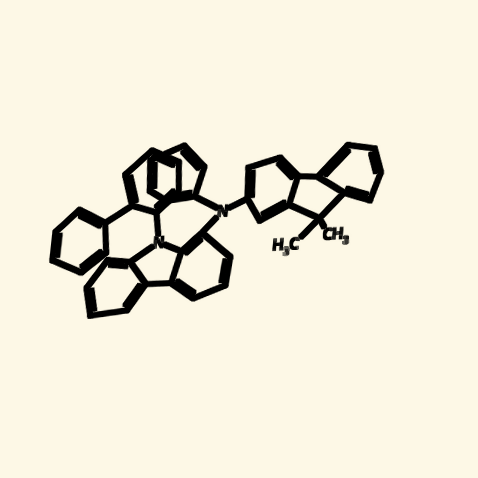 CC1(C)c2ccccc2-c2ccc(N(c3ccccc3)c3cccc4c5ccccc5n(-c5ccccc5-c5ccccc5)c34)cc21